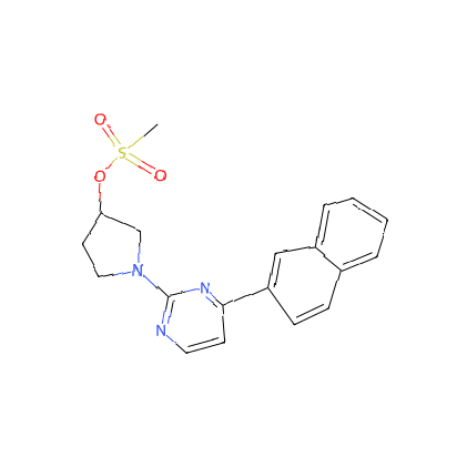 CS(=O)(=O)OC1CCN(c2nccc(-c3ccc4ccccc4c3)n2)C1